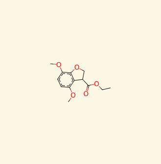 CCOC(=O)C1COc2c(OC)ccc(OC)c21